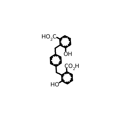 O=C(O)c1cccc(O)c1Cc1ccc(Cc2c(O)cccc2C(=O)O)cc1